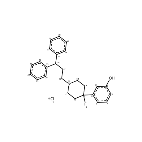 Cl.Oc1cccc(C2(F)CCN(CCC(c3ccccc3)c3ccccc3)CC2)c1